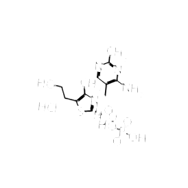 Cc1ncc(C[n+]2csc(CCO)c2C)c(N)n1.Cl.O.O.O=P([O-])(O)O